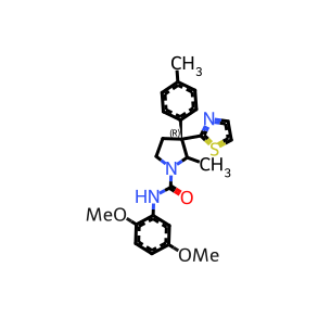 COc1ccc(OC)c(NC(=O)N2CC[C@](c3ccc(C)cc3)(c3nccs3)C2C)c1